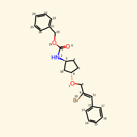 O=C(N[C@H]1CC[C@H](OC/C(Br)=C/c2ccccc2)C1)OCc1ccccc1